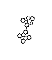 CC1(c2ccccc2)c2ccccc2Oc2cc(-c3ccc4c(c3)-c3ccccc3C43c4ccccc4-c4ccccc43)ccc21